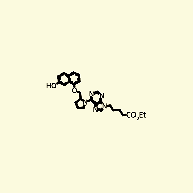 CCOC(=O)CCCCn1cnc2c(N3CCCC3COc3cccc4ccc(O)cc34)ncnc21